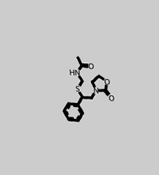 CC(=O)NCSC(CN1CCOC1=O)c1ccccc1